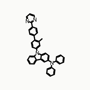 Cc1cc(-n2c3ccccc3c3cc(N(c4ccccc4)c4ccccc4)ccc32)ccc1-c1ccc(-c2ncccn2)cc1